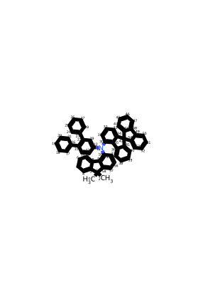 CC1(C)c2ccccc2-c2c(N(c3ccc(-c4ccccc4)c(-c4ccccc4)c3)c3cccc4c3-c3ccccc3C43c4ccccc4-c4ccccc43)cccc21